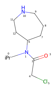 CC(C)N(C(=O)CCl)C1CCCNCC1